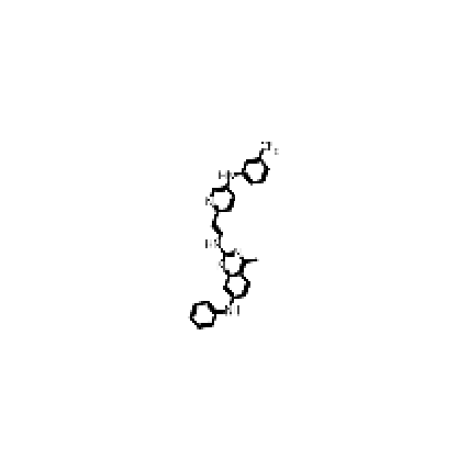 Cc1nc(N/C=C/c2ccc(Nc3cccc(C(F)(F)F)c3)cn2)nc2cc(Nc3ccccc3)ccc12